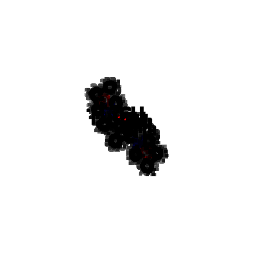 C[Si](C)(C)C1([Si](C)(C)C)c2cc(N(c3ccccc3)c3cccc4c3oc3c(C5CCCCC5)cccc34)c3ccccc3c2-c2c1c1ccc(N(c3ccccc3)c3cccc4c3oc3c(C5CCCCC5)cccc34)cc1c1ccccc21